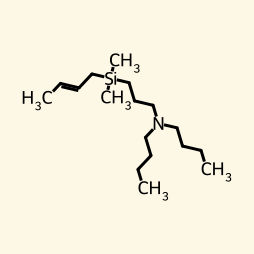 CC=CC[Si](C)(C)CCCN(CCCC)CCCC